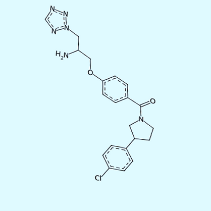 NC(COc1ccc(C(=O)N2CCC(c3ccc(Cl)cc3)C2)cc1)Cn1ncnn1